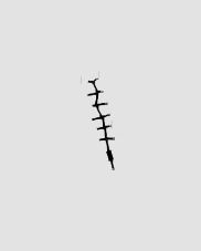 FC#CC(F)(F)C(F)(F)C(F)(F)C(F)(F)C(F)(F)C(F)F